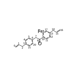 C=CCc1ccc(CC(=O)c2ccc(CC=C)cc2F)cc1